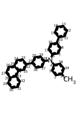 Cc1ccc(N(c2ccc(-c3ccccc3)cc2)c2ccc(-c3ccc4ccc5ccccc5c4c3)cc2)cc1